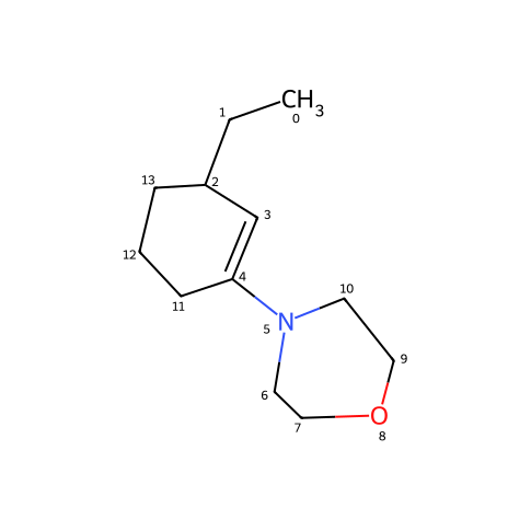 CCC1C=C(N2CCOCC2)CCC1